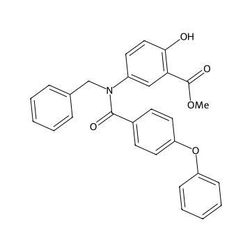 COC(=O)c1cc(N(Cc2ccccc2)C(=O)c2ccc(Oc3ccccc3)cc2)ccc1O